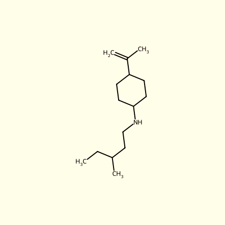 C=C(C)C1CCC(NCCC(C)CC)CC1